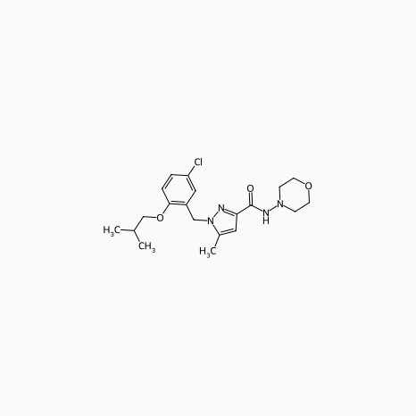 Cc1cc(C(=O)NN2CCOCC2)nn1Cc1cc(Cl)ccc1OCC(C)C